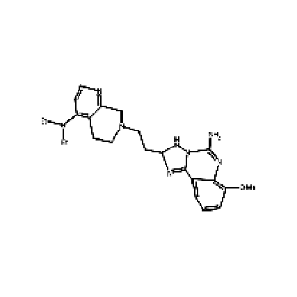 CCN(CC)c1ccnc2c1CCN(CCC1N=C3c4cccc(OC)c4N=C(N)N3N1)C2